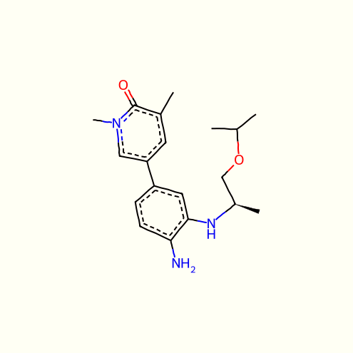 Cc1cc(-c2ccc(N)c(N[C@H](C)COC(C)C)c2)cn(C)c1=O